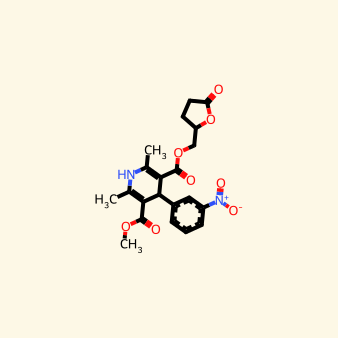 COC(=O)C1=C(C)NC(C)=C(C(=O)OCC2CCC(=O)O2)C1c1cccc([N+](=O)[O-])c1